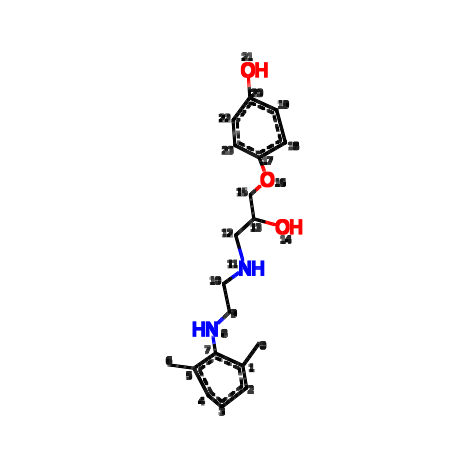 Cc1cccc(C)c1NCCNCC(O)COc1ccc(O)cc1